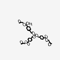 O=C(OCC1CO1)C1CCC(COC(OCC2CCC(C(=O)OCC3CO3)CC2)OCC2CCC(C(O)OCC3CO3)CC2)CC1